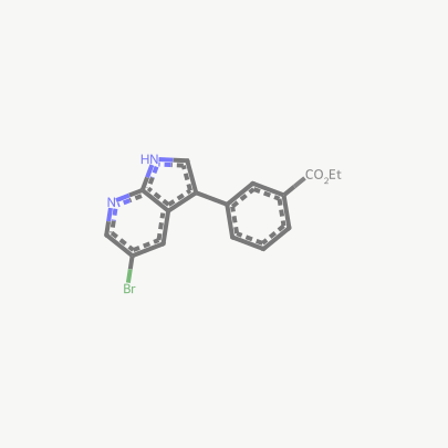 CCOC(=O)c1cccc(-c2c[nH]c3ncc(Br)cc23)c1